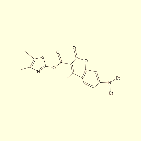 CCN(CC)c1ccc2c(C)c(C(=O)Oc3nc(C)c(C)s3)c(=O)oc2c1